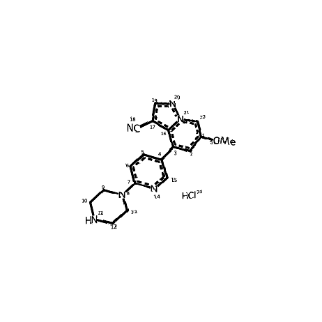 COc1cc(-c2ccc(N3CCNCC3)nc2)c2c(C#N)cnn2c1.Cl